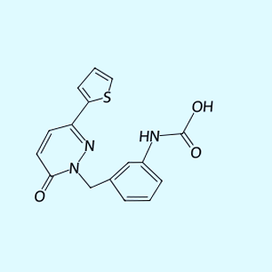 O=C(O)Nc1cccc(Cn2nc(-c3cccs3)ccc2=O)c1